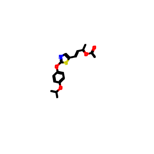 CC(=O)OC(C)/C=C/c1cnc(Oc2ccc(OC(C)C)cc2)s1